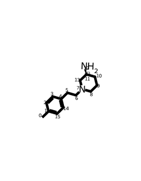 Cc1ccc(CCN2CCC[C@H](N)C2)cc1